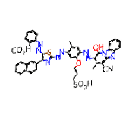 Cc1cc(N=Nc2c(C)c(C#N)c3nc4ccccc4n3c2O)c(OCCCS(=O)(=O)O)cc1N=Nc1nc(-c2ccc3ccccc3c2)c(N=Nc2ccccc2C(=O)O)s1